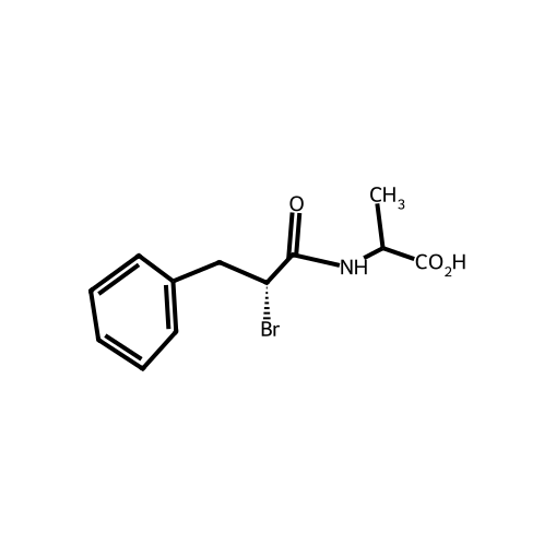 CC(NC(=O)[C@H](Br)Cc1ccccc1)C(=O)O